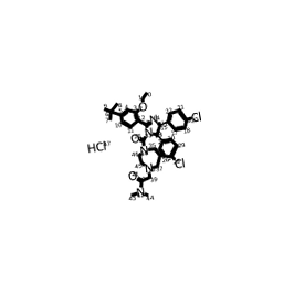 CCOc1cc(C(C)(C)C)ccc1C1=N[C@@H](c2ccc(Cl)cc2)[C@@H](c2ccc(Cl)cc2)N1C(=O)N1CCCN(CC(=O)N(C)C)CC1.Cl